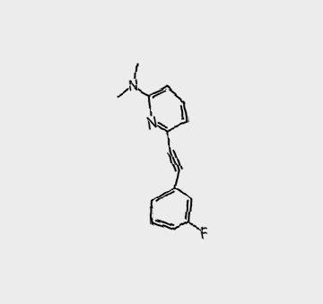 CN(C)c1cccc(C#Cc2cccc(F)c2)n1